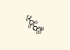 COc1ccc(N2C(=O)CC(C(F)(F)F)CC2=O)cc1NC(C)=O